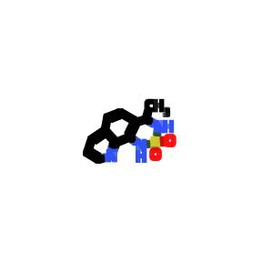 CC1NS(=O)(=O)Nc2c1ccc1cccnc21